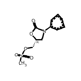 CS(=O)(=O)OC[C@H]1CN(c2ccccc2)C(=O)O1